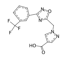 O=C(O)c1cnn(Cc2nc(-c3cccc(C(F)(F)F)c3)no2)c1